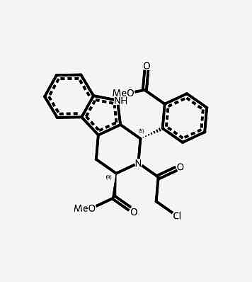 COC(=O)c1ccccc1[C@H]1c2[nH]c3ccccc3c2C[C@H](C(=O)OC)N1C(=O)CCl